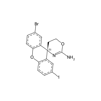 NC1=N[C@@]2(CCO1)c1cc(Br)ccc1Oc1ccc(I)cc12